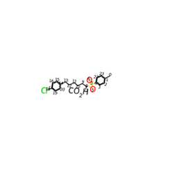 Cc1ccc(S(=O)(=O)C(CCCCCc2ccc(Cl)cc2)C(=O)O)cc1